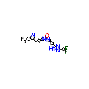 O=C(N1CC2(CC(Cc3cncc(C(F)(F)F)c3)C2)C1)N1CC2(CC(c3nc(C4CC(F)(F)C4)n[nH]3)C2)C1